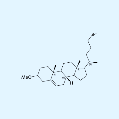 COC1CC[C@@]2(C)C(=CC[C@H]3C4CCC([C@H](C)CCCC(C)C)[C@@]4(C)CCC32)C1